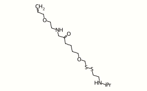 C=CCOCCNCC(=O)CCCCOCSSCCNC(C)C